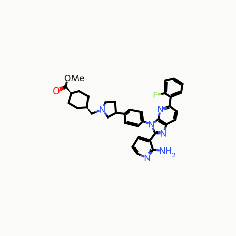 COC(=O)[C@H]1CC[C@@H](CN2CCC(c3ccc(-n4c(-c5cccnc5N)nc5ccc(-c6ccccc6F)nc54)cc3)C2)CC1